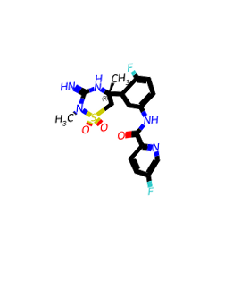 CN1C(=N)N[C@](C)(C2CC(NC(=O)c3ccc(F)cn3)=CC=C2F)CS1(=O)=O